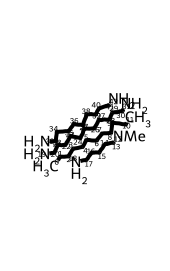 CCCCCCCCCCCC.CNCCCCCN.NCCCCCCCCCCCN.NCCCCCCCCCN